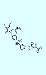 CCCN(CCC)C(=O)C1=Cc2ccc(C(=O)Nc3cncc(CNC(=O)CNC(=O)O)c3)cc2N=C(N)C1